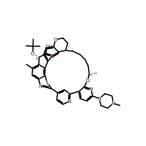 Cc1cc2nc3sc2c(c1[C@H](OC(C)(C)C)C(=O)O)-c1ccc2c(c1)C(CCCC[C@H](C)Oc1nc(N4CCN(C)CC4)ccc1-c1cc-3ccn1)CCO2